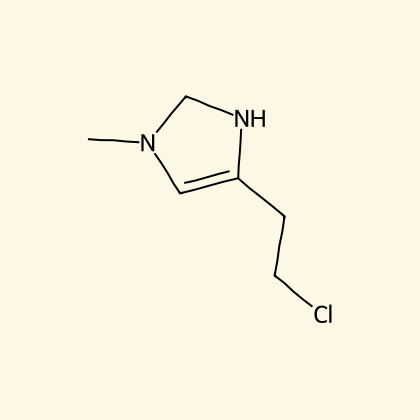 CN1C=C(CCCl)NC1